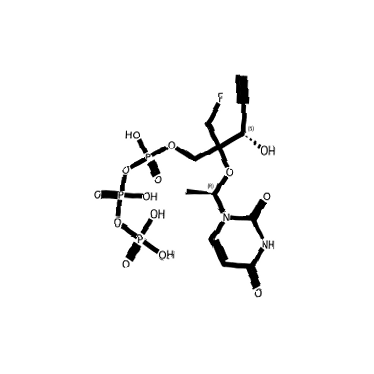 C#C[C@H](O)C(CF)(COP(=O)(O)OP(=O)(O)OP(=O)(O)O)O[C@H](C)n1ccc(=O)[nH]c1=O